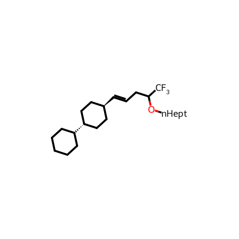 CCCCCCCOC(CC=C[C@H]1CC[C@H](C2CCCCC2)CC1)C(F)(F)F